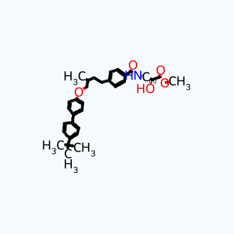 COC(=O)[C@H](O)CNC(=O)c1ccc(CCC(C)COc2ccc(-c3ccc(C(C)(C)C)cc3)cc2)cc1